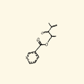 C=C(C)C(=O)C(C)OC(=O)c1cccnc1